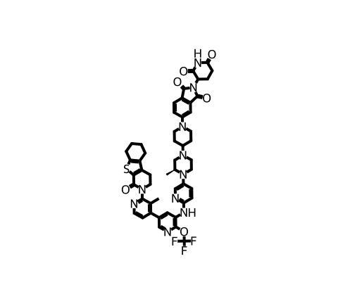 Cc1c(-c2cnc(OC(F)(F)F)c(Nc3ccc(N4CCN(C5CCN(c6ccc7c(c6)C(=O)N(C6CCC(=O)NC6=O)C7=O)CC5)C[C@@H]4C)cn3)c2)ccnc1N1CCc2c(sc3c2CCCC3)C1=O